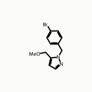 COCc1ccnn1Cc1ccc(Br)cc1